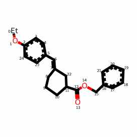 CCOc1ccc(C=C2CCCC(C(=O)OCc3ccccc3)C2)cc1